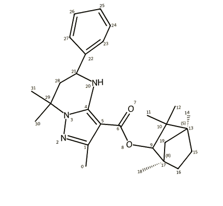 Cc1nn2c(c1C(=O)OC1C(C)(C)[C@@]3(C)CC[C@]1(C)C3)NC(c1ccccc1)CC2(C)C